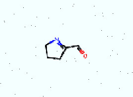 O=CC1=NCCC1